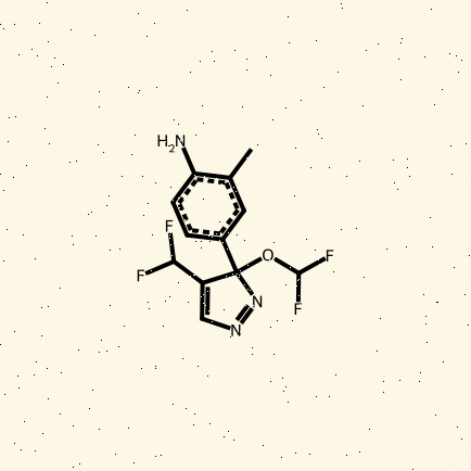 Cc1cc(C2(OC(F)F)N=NC=C2C(F)F)ccc1N